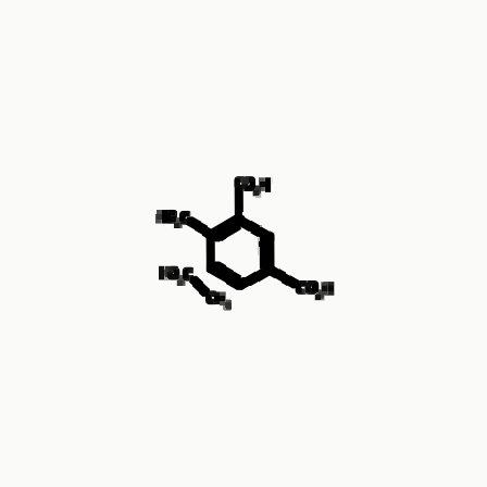 CC(=O)O.O=C(O)c1ccc(C(=O)O)c(C(=O)O)c1